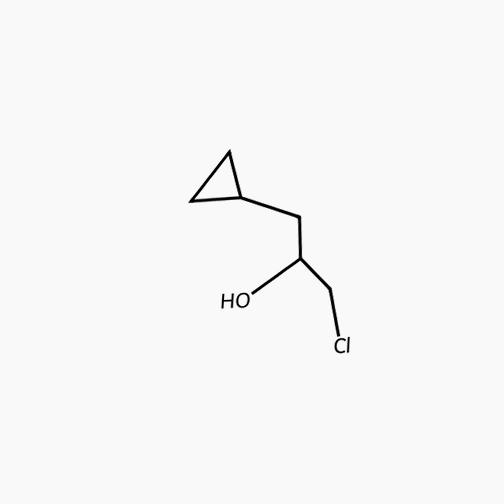 OC(CCl)CC1CC1